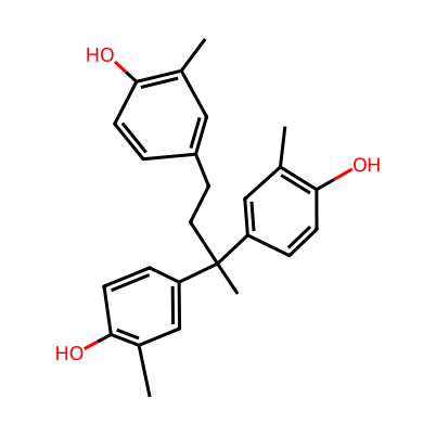 Cc1cc(CCC(C)(c2ccc(O)c(C)c2)c2ccc(O)c(C)c2)ccc1O